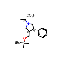 C[C@H](C(=O)O)N1C[C@H](CO[Si](C)(C)C(C)(C)C)[C@@H](c2ccccc2)C1